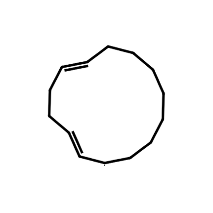 [CH]1/C=C/CC/C=C/CCCCCCC1